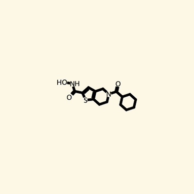 O=C(NO)c1cc2c(s1)CCN(C(=O)C1CCCCC1)C2